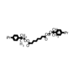 CC(C)c1ccc(C(C)(C)OOOC(=O)CCCCCCC(=O)OOOC(C)(C)c2ccc(C(C)C)cc2)cc1